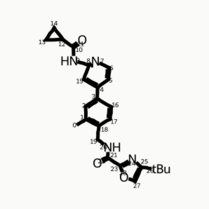 Cc1cc(-c2ccnc(NC(=O)C3CC3)c2)ccc1CNC(=O)c1nc(C(C)(C)C)co1